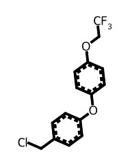 FC(F)(F)COc1ccc(Oc2ccc(CCl)cc2)cc1